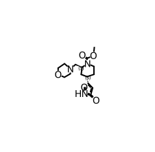 COC(=O)N1CC[C@H](c2cc(=O)[nH]o2)C[C@H]1CN1CCOCC1